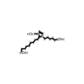 CCCCCCCCCCCCCCCCCCc1n(CCCCCCCCCCCCCCC)cc[n+]1CCCCCCCC